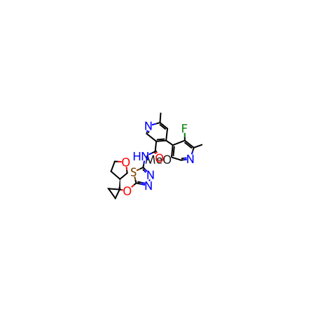 COc1cnc(C)c(F)c1-c1cc(C)ncc1C(=O)Nc1nnc(OC2([C@H]3CCOC3)CC2)s1